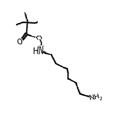 CC(C)(C)C(=O)ONCCCCCCN